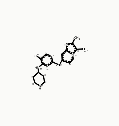 Cc1nc2cc(Nc3ncc(Cl)c(NC4CCNCC4)n3)ccn2c1C